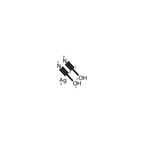 N#CO.N#CO.[Ag]